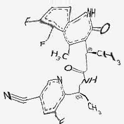 Cc1c([C@@H](C)C(=O)N[C@@H](C)c2ncc(C#N)cc2F)c(=O)[nH]c2ccc(F)c(F)c12